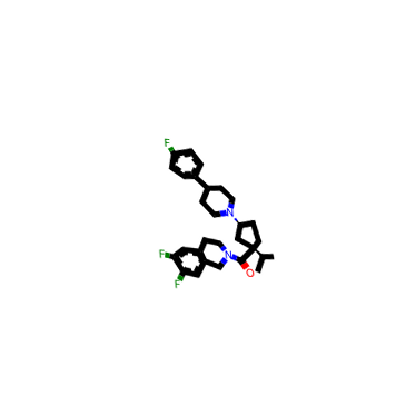 CC(C)[C@]1(C(=O)N2CCc3cc(F)c(F)cc3C2)CC[C@@H](N2CCC(c3ccc(F)cc3)CC2)C1